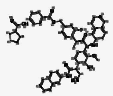 COc1c(C(Nc2ccc3cnccc3c2)C(=O)C(C)c2ccc(COC(=O)c3ccccc3)cc2F)ccc(C(CN)C(=O)Nc2ccc3cnccc3c2)c1N.O=C(O)C1CCCC1